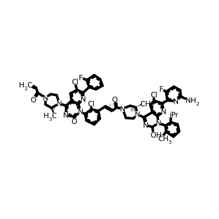 C=CC(=O)N1CCN(c2nc(=O)n(-c3cccc(/C=C/C(=O)N4CCN(C5=NC(O)N(c6c(C)cccc6C(C)C)c6nc(-c7nc(N)ccc7F)c(Cl)cc65)[C@@H](C)C4)c3Cl)c3nc(-c4ccccc4F)c(Cl)cc23)[C@@H](C)C1